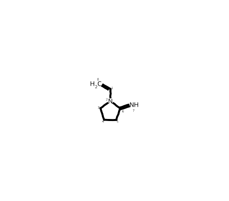 C=CN1CCCC1=N